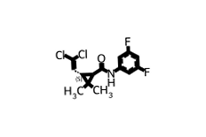 CC1(C)C(C(=O)Nc2cc(F)cc(F)c2)[C@H]1C=C(Cl)Cl